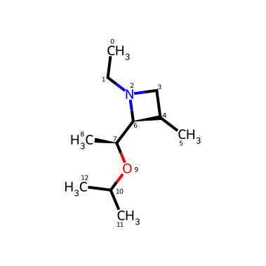 CCN1CC(C)[C@H]1[C@H](C)OC(C)C